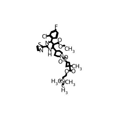 CCOC(=O)C1=C(C2CCN(S(=O)(=O)C3CC(C)(C(=O)OCC[Si](C)(C)C)C3)CC2)NC(c2nccs2)=NC1c1ccc(F)cc1Cl